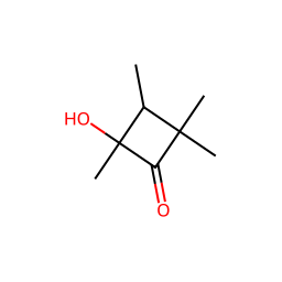 CC1C(C)(C)C(=O)C1(C)O